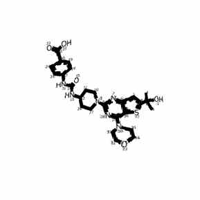 CC(C)(O)c1cc2nc(N3CCC(NC(=O)Nc4ccc(C(=O)O)cc4)CC3)nc(N3CCOCC3)c2s1